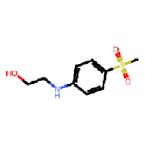 CS(=O)(=O)c1ccc(NCCO)cc1